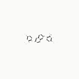 O=[N+]([O-])c1ccc(Oc2ccc3cc(Oc4ccc([N+](=O)[O-])cc4[N+](=O)[O-])ccc3c2)c([N+](=O)[O-])c1